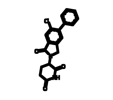 O=C1CCC(N2Cc3cc(-c4ccccc4)c(Cl)cc3C2=O)C(=O)N1